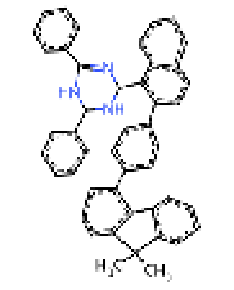 CC1(C)c2ccccc2-c2c(-c3ccc(-c4ccc5ccccc5c4C4N=C(c5ccccc5)NC(c5ccccc5)N4)cc3)cccc21